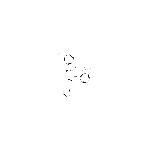 COc1ccc(F)cc1[C@H](C(=O)Nc1nccs1)N1Cc2ccc(Br)cc2C1=O